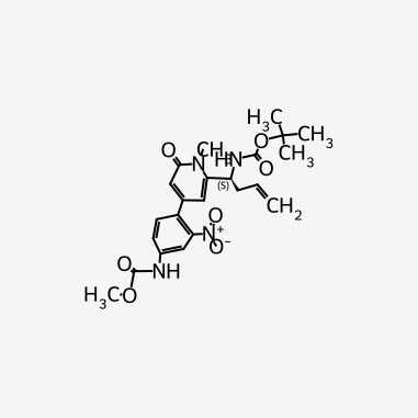 C=CC[C@H](NC(=O)OC(C)(C)C)c1cc(-c2ccc(NC(=O)OC)cc2[N+](=O)[O-])cc(=O)n1C